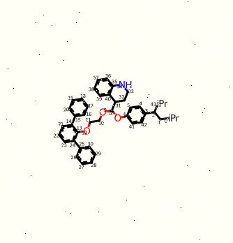 CC(C)CC(c1ccc(OC(OCCOc2c(-c3ccccc3)cccc2-c2ccccc2)C2CCNc3ccccc32)cc1)C(C)C